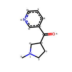 CN1CCC(C(=O)c2cccnc2)C1